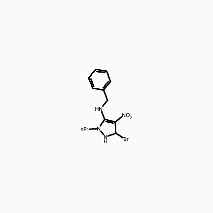 CCCN1NC(Br)C([N+](=O)[O-])=C1NCc1ccccc1